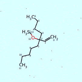 C=CC(CCCC)(CCCCC)O[SiH3]